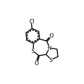 O=C1Sc2ccc(Cl)cc2C(=O)N2CCSC12